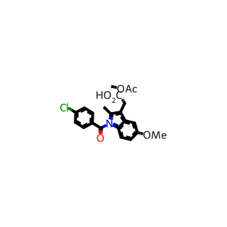 COC(C)=O.COc1ccc2c(c1)c(CC(=O)O)c(C)n2C(=O)c1ccc(Cl)cc1